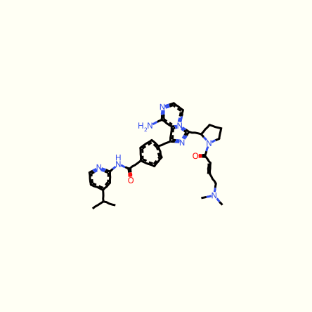 CC(C)c1ccnc(NC(=O)c2ccc(-c3nc(C4CCCN4C(=O)C=CCN(C)C)n4ccnc(N)c34)cc2)c1